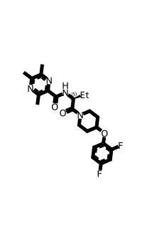 CC[C@H](NC(=O)c1nc(C)c(C)nc1C)C(=O)N1CCC(Oc2ccc(F)cc2F)CC1